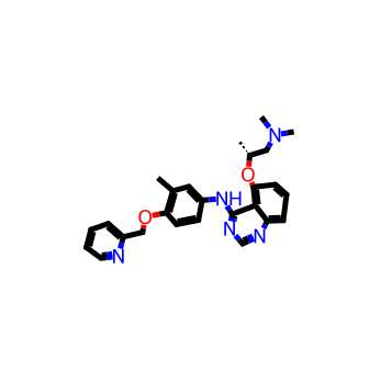 Cc1cc(Nc2ncnc3cccc(O[C@H](C)CN(C)C)c23)ccc1OCc1ccccn1